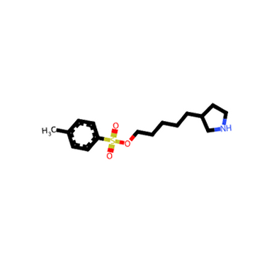 Cc1ccc(S(=O)(=O)OCCCCCC2CCNC2)cc1